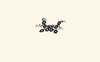 CCn1c2cc(SC)ccc2c2ccc(N(c3ccccc3)c3ccc4c(c3)C3(c5cc(N(c6ccccc6)c6ccc7c8ccc(SC)cc8n(CC)c7c6)ccc5-4)c4ccsc4-c4sccc43)cc21